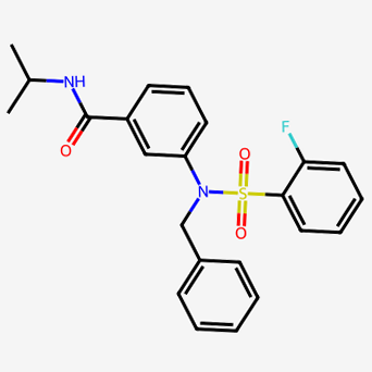 CC(C)NC(=O)c1cccc(N(Cc2ccccc2)S(=O)(=O)c2ccccc2F)c1